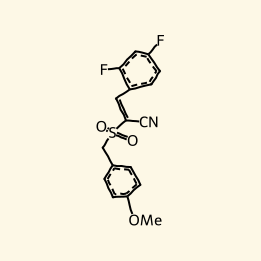 COc1ccc(CS(=O)(=O)C(C#N)=Cc2ccc(F)cc2F)cc1